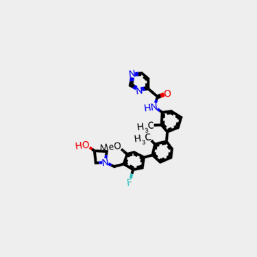 COc1cc(-c2cccc(-c3cccc(NC(=O)c4ccncn4)c3C)c2C)cc(F)c1CN1CC(O)C1